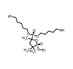 CCOP1(=O)OC(C)(P(=O)(OCCCCCC(C)C)OCCCCCC(C)C)CC1(C)C